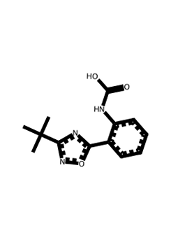 CC(C)(C)c1noc(-c2ccccc2NC(=O)O)n1